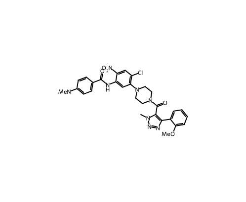 CNc1ccc(C(=O)Nc2cc(N3CCN(C(=O)c4c(-c5ccccc5OC)nnn4C)CC3)c(Cl)cc2[N+](=O)[O-])cc1